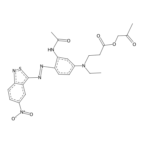 CCN(CCC(=O)OCC(C)=O)c1ccc(N=Nc2snc3ccc([N+](=O)[O-])cc23)c(NC(C)=O)c1